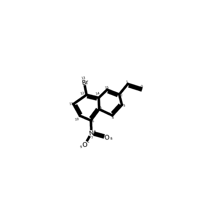 C=Cc1ccc2c([N+](=O)[O-])ccc(Br)c2c1